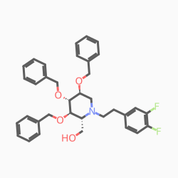 OC[C@@H]1[C@@H](OCc2ccccc2)[C@H](OCc2ccccc2)[C@@H](OCc2ccccc2)CN1CCc1ccc(F)c(F)c1